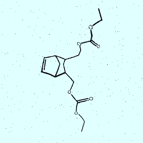 CCOC(=O)OCC1C2C=CC(C2)C1COC(=O)OCC